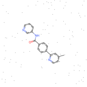 Cc1ccnc(-c2ccc(C(=O)Nc3cccnc3)cc2)c1